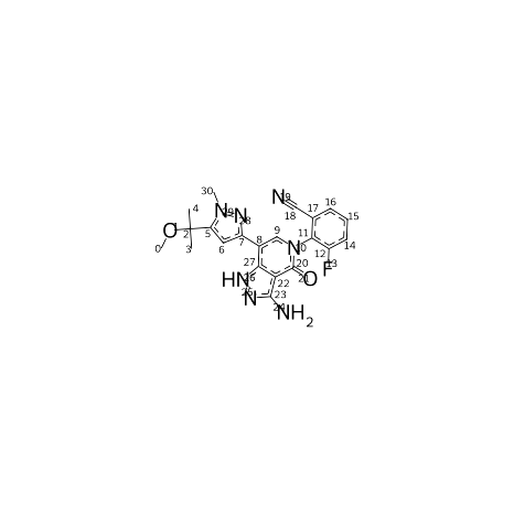 COC(C)(C)c1cc(-c2cn(-c3c(F)cccc3C#N)c(=O)c3c(N)n[nH]c23)nn1C